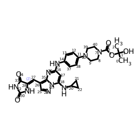 CC(C)(O)OC(=O)N1CCN(c2ccc(Nc3cc(NC4CC4)n4ncc(/C=C5\NC(=O)NC5=O)c4n3)cc2)CC1